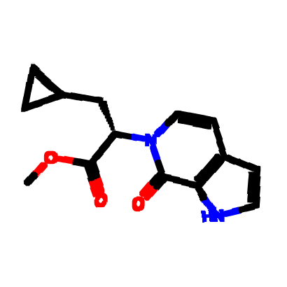 COC(=O)[C@H](CC1CC1)n1ccc2cc[nH]c2c1=O